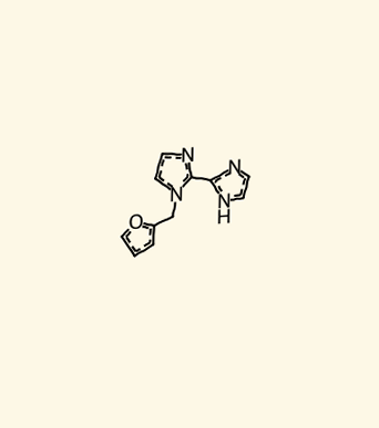 c1coc(Cn2ccnc2-c2ncc[nH]2)c1